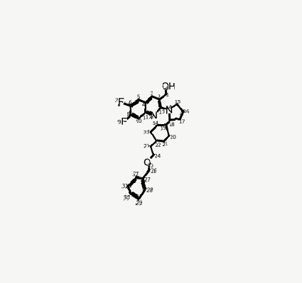 OCc1cc2cc(F)c(F)cc2nc1N1CCCC1C1CCC(CCOCc2ccccc2)CC1